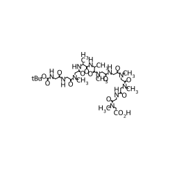 CC(NC(=O)CN(C)C(=O)CNC(=O)CNC(=O)OC(C)(C)C)C(=O)NC(C)C(=O)N(C)CC(=O)NCC(=O)N(C)CC(=O)N(C)CC(=O)NCC(=O)N(C)CC(=O)O